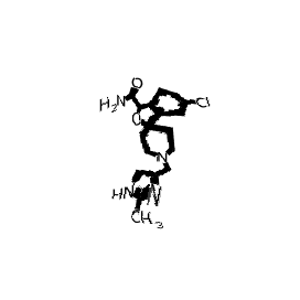 Cc1nc(CN2CCC3(CC2)OC(C(N)=O)c2ccc(Cl)cc23)c[nH]1